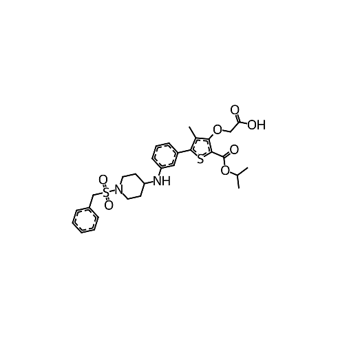 Cc1c(-c2cccc(NC3CCN(S(=O)(=O)Cc4ccccc4)CC3)c2)sc(C(=O)OC(C)C)c1OCC(=O)O